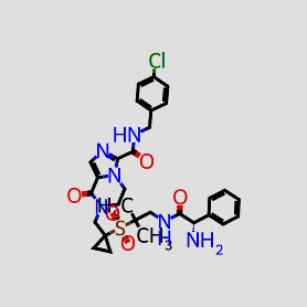 CC(C)(CNC(=O)[C@@H](N)c1ccccc1)S(=O)(=O)C1(CN2CCn3c(cnc3C(=O)NCc3ccc(Cl)cc3)C2=O)CC1